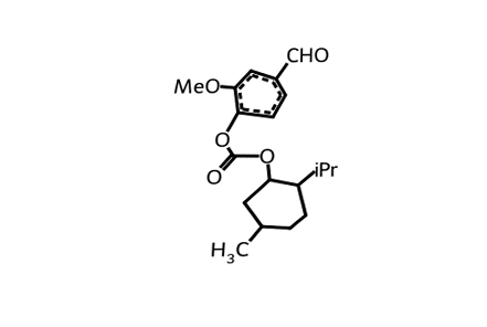 COc1cc(C=O)ccc1OC(=O)OC1CC(C)CCC1C(C)C